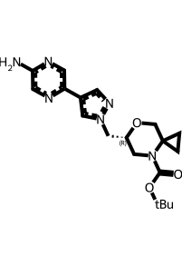 CC(C)(C)OC(=O)N1C[C@H](Cn2cc(-c3cnc(N)cn3)cn2)OCC12CC2